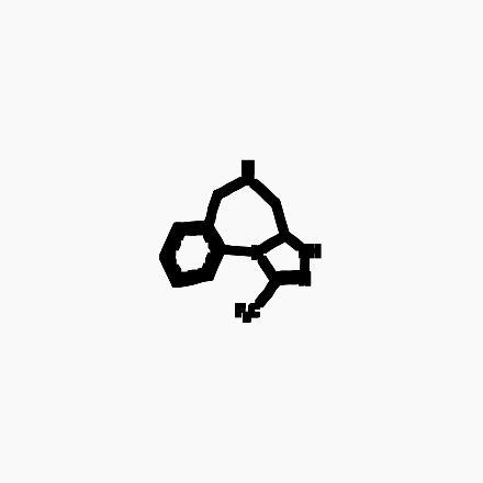 FC(F)(F)C1=NNC2CNCc3ccccc3N12